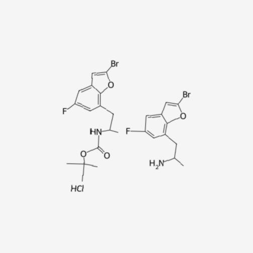 CC(Cc1cc(F)cc2cc(Br)oc12)NC(=O)OC(C)(C)C.CC(N)Cc1cc(F)cc2cc(Br)oc12.Cl